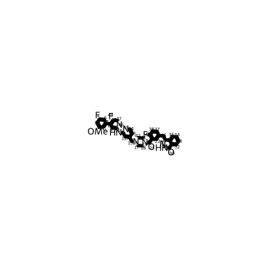 COc1ccc(F)cc1-c1cc(Nc2cc(CN3CCN(C(=O)c4cc(Cc5n[nH]c(=O)c6ccccc56)ccc4F)CC3)ccn2)ncc1F